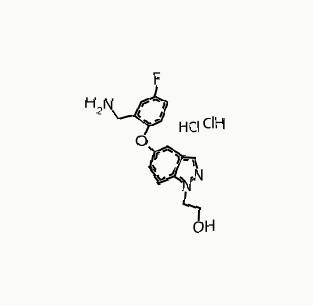 Cl.Cl.NCc1cc(F)ccc1Oc1ccc2c(cnn2CCO)c1